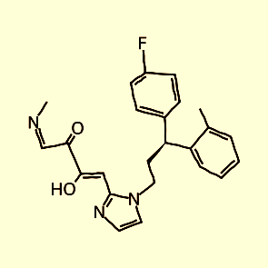 C/N=C\C(=O)/C(O)=C/c1nccn1CC[C@@H](c1ccc(F)cc1)c1ccccc1C